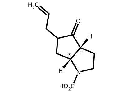 C=CCC1C[C@@H]2[C@@H](CCN2C(=O)O)C1=O